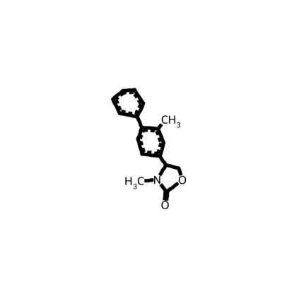 Cc1cc(C2COC(=O)N2C)ccc1-c1ccccc1